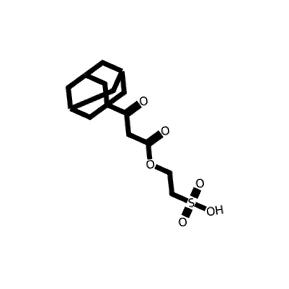 O=C(CC(=O)C12CC3CC(CC(C3)C1)C2)OCCS(=O)(=O)O